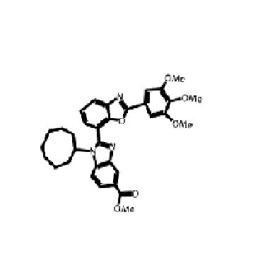 COC(=O)c1ccc2c(c1)nc(-c1cccc3nc(-c4cc(OC)c(OC)c(OC)c4)oc13)n2C1CCCCCCC1